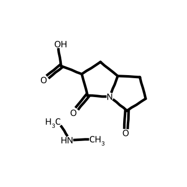 CNC.O=C(O)C1CC2CCC(=O)N2C1=O